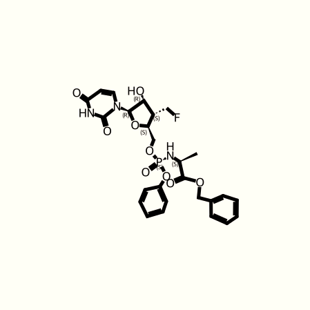 C[C@H](N[P@](=O)(OC[C@H]1O[C@@H](n2ccc(=O)[nH]c2=O)[C@H](O)[C@@H]1CF)Oc1ccccc1)C(=O)OCc1ccccc1